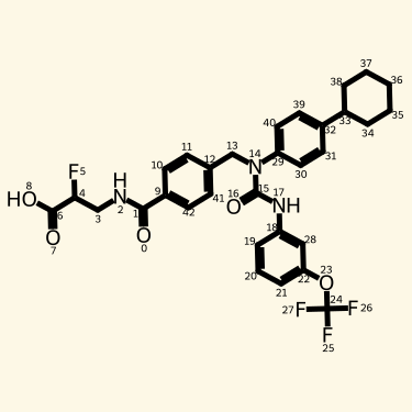 O=C(NCC(F)C(=O)O)c1ccc(CN(C(=O)Nc2cccc(OC(F)(F)F)c2)c2ccc(C3CCCCC3)cc2)cc1